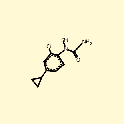 NC(=O)N(S)c1ccc(C2CC2)cc1Cl